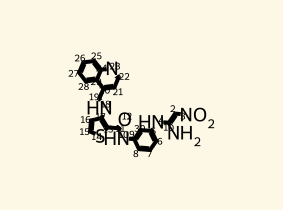 NC(=C[N+](=O)[O-])Nc1cccc(NC(=O)c2sccc2NCc2ccnc3ccccc23)c1